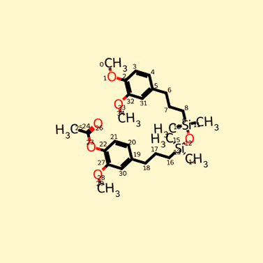 COc1ccc(CCC[Si](C)(C)O[Si](C)(C)CCCc2ccc(OC(C)=O)c(OC)c2)cc1OC